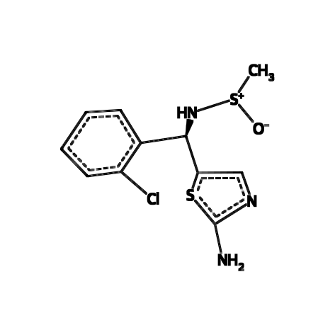 C[S+]([O-])N[C@@H](c1cnc(N)s1)c1ccccc1Cl